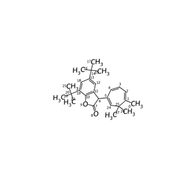 CC1=CC=CC(C2C(=O)Oc3c2cc(C(C)(C)C)cc3C(C)(C)C)=CC1(C)C